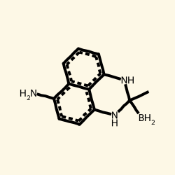 BC1(C)Nc2cccc3c(N)ccc(c23)N1